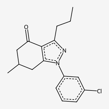 CCCc1nn(-c2cccc(Cl)c2)c2c1C(=O)CC(C)C2